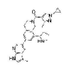 Cc1nn(C2CC2)cc1C(=O)N1CCc2cc(-c3cnc4[nH]cc(C)c4c3)cc(C3CCCN3)c2C1